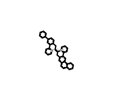 c1ccc(-c2ccc3c(c2)-c2cccc[n+]2/C(=C2\Cc4cc5ccc6ccccc6c5cc4-c4cccc[n+]42)C3)cc1